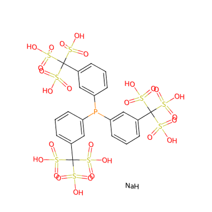 O=S(=O)(O)C(c1cccc(P(c2cccc(C(S(=O)(=O)O)(S(=O)(=O)O)S(=O)(=O)O)c2)c2cccc(C(S(=O)(=O)O)(S(=O)(=O)O)S(=O)(=O)O)c2)c1)(S(=O)(=O)O)S(=O)(=O)O.[NaH]